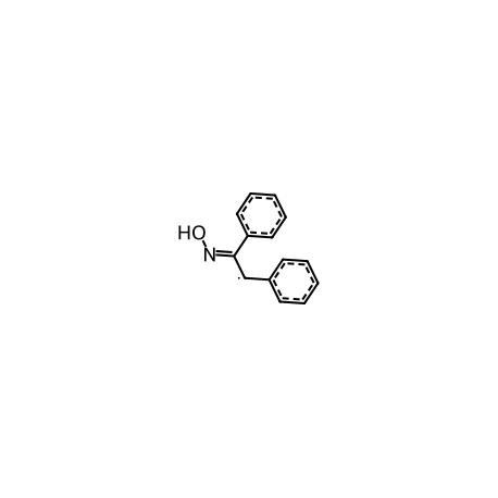 O/N=C(/[CH]c1ccccc1)c1ccccc1